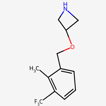 Cc1c(COC2CNC2)cccc1C(F)(F)F